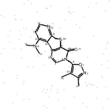 Cc1noc(-n2cnc3c(sc4nccc(N(C)C)c43)c2=O)c1C